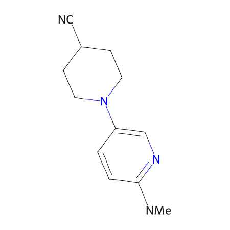 CNc1ccc(N2CCC(C#N)CC2)cn1